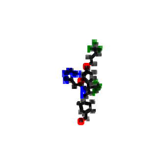 O=Cc1ccc(CCC(NC(=O)Cc2nnn[nH]2)(c2ccc(OCCCC(F)(F)F)cc2)C(F)(F)F)cc1